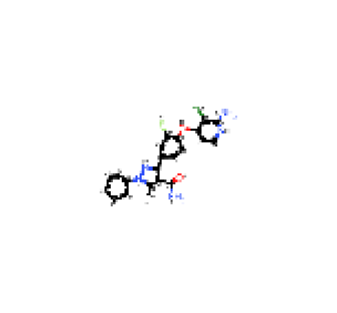 CCc1c(C(N)=O)c(-c2ccc(Oc3ccnc(N)c3Cl)c(F)c2)nn1-c1ccccc1